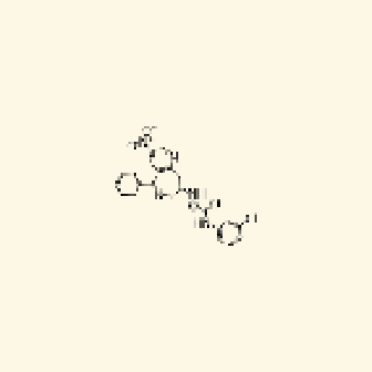 O=C(Nc1cccc(Cl)c1)ONC1=Cc2ncc([N+](=O)[O-])cc2C(c2ccccc2)=NC1